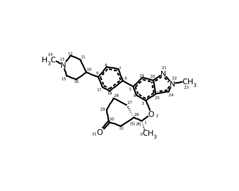 C[C@@H](Oc1cc(-c2ccc(C3CCN(C)CC3)cc2)cc2nn(C)cc12)[C@H]1CCCC(=O)C1